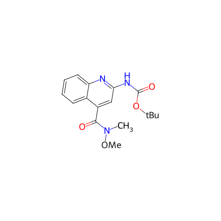 CON(C)C(=O)c1cc(NC(=O)OC(C)(C)C)nc2ccccc12